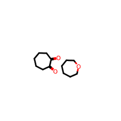 C1CCCOCC1.O=C1CCCCCC1=O